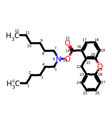 CCCCCCN(CCCCCC)OC(=O)c1cccc2c1Cc1ccccc1O2